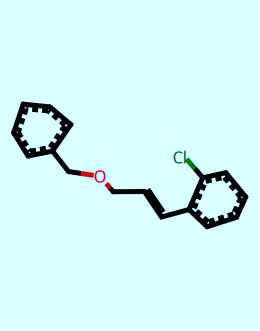 Clc1ccccc1C=CCOCc1ccccc1